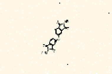 CCCCN1C(=O)c2ccc(Sc3ccc4c(c3)C(=O)N(CCCC)C4=O)cc2C1=O